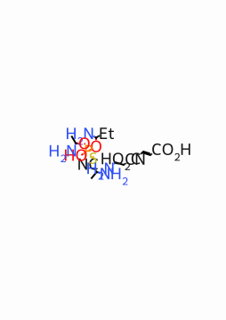 CC(N)C#N.CCC(N)OP(O)(=S)OC(C)N.N#CCCN.O=C(O)C=CC(=O)O